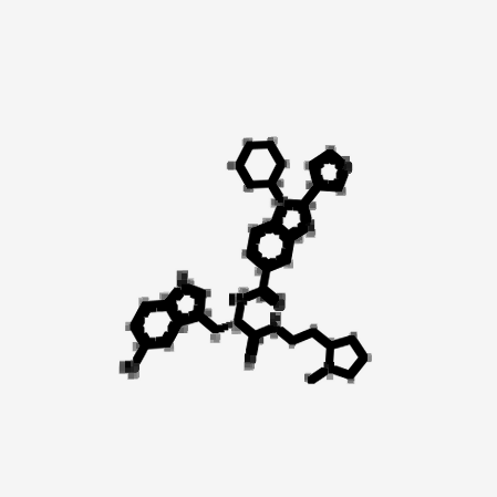 CN1CCCC1CCNC(=O)[C@H](Cc1c[nH]c2ccc(O)cc12)NC(=O)c1ccc2c(c1)nc(-c1ccoc1)n2C1CCCCC1